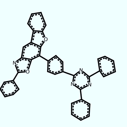 c1ccc(-c2nc(-c3ccccc3)nc(-c3ccc(-c4c5oc(-c6ccccc6)nc5cc5c4oc4ccccc45)cc3)n2)cc1